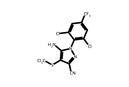 N#Cc1nn(-c2c(Cl)cc(C(F)(F)F)cc2Cl)c(N)c1SC(Cl)(Cl)Cl